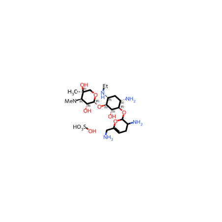 CCN[C@@H]1C[C@H](N)[C@@H](OC2OC(CN)=CCC2N)[C@H](O)[C@H]1O[C@H]1OC[C@](C)(O)[C@H](NC)[C@H]1O.O=S(=O)(O)O